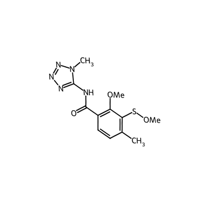 COSc1c(C)ccc(C(=O)Nc2nnnn2C)c1OC